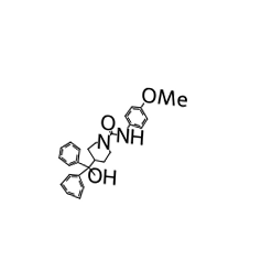 COc1ccc(NC(=O)N2CCC(C(O)(c3ccccc3)c3ccccc3)CC2)cc1